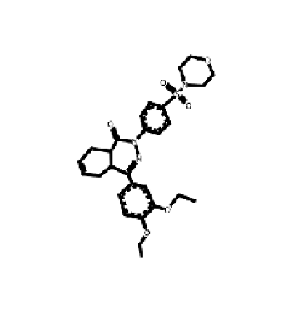 CCOc1ccc(C2=NN(c3ccc(S(=O)(=O)N4CCOCC4)cc3)C(=O)C3CC=CCC23)cc1OCC